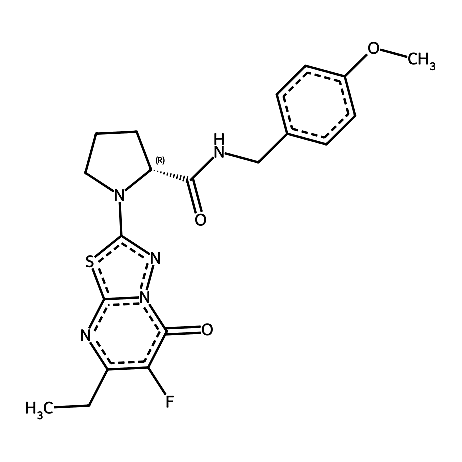 CCc1nc2sc(N3CCC[C@@H]3C(=O)NCc3ccc(OC)cc3)nn2c(=O)c1F